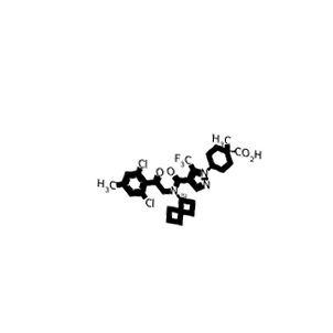 Cc1cc(Cl)c(C(=O)CN(C(=O)c2cnn([C@H]3CC[C@](C)(C(=O)O)CC3)c2C(F)(F)F)[C@H]2CCC23CCC3)c(Cl)c1